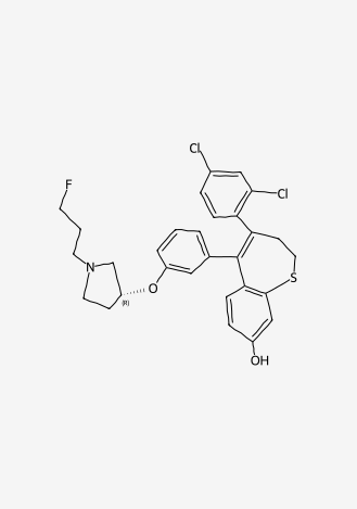 Oc1ccc2c(c1)SCCC(c1ccc(Cl)cc1Cl)=C2c1cccc(O[C@@H]2CCN(CCCF)C2)c1